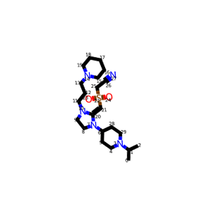 CC(C)N1CCC(N2CCN(CCCN3CCCCC3)C2=CS(=O)(=O)CC#N)CC1